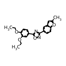 CCOc1ccc(-c2nc(-c3ccc4oc(C)cc4c3)no2)cc1OCC